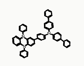 c1ccc(-c2ccc(N(c3ccc(-c4ccccc4)cc3)c3ccc(-c4ccc5c(c4)N(c4ccccc4)c4ccccc4N5c4ccccc4)cc3)cc2)cc1